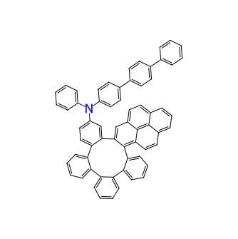 c1ccc(-c2ccc(-c3ccc(N(c4ccccc4)c4ccc5c6ccccc6c6ccccc6c6ccccc6c6c(cc7ccc8cccc9ccc6c7c89)c5c4)cc3)cc2)cc1